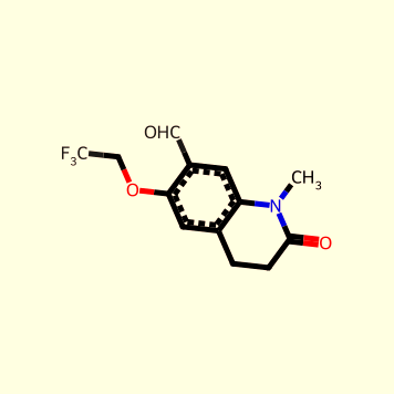 CN1C(=O)CCc2cc(OCC(F)(F)F)c(C=O)cc21